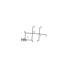 CC(C)(C)C1(C)CNC1